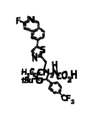 CC(C)(C)[Si](C)(C)O[C@H](c1ccc(C(F)(F)F)cc1)[C@@H](CCc1ncc(-c2ccc3cnc(F)cc3c2)s1)NC(=O)O